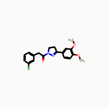 COc1ccc(C2=NN(C(=O)Cc3cccc(Br)c3)CC2)cc1OC